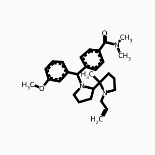 C=CCN1CCCC1(C)C1CCCN1C(c1ccc(C(=O)N(C)C)cc1)c1cccc(OC)c1